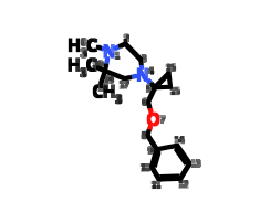 CN1CCN(C2(COCc3ccccc3)CC2)CC1(C)C